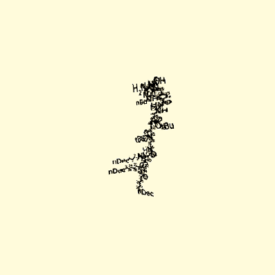 CCCCCCCCCCCCCCCC(=O)N[C@@H](CSCC(COC(=O)CCCCCCCCCCCCCCC)OC(=O)CCCCCCCCCCCCCCC)C(=O)NCCCN(CCCCN(CCCNC(=O)CNC(=O)c1ccc(Cn2c(O)nc3c(N)nc(NCCCC)nc32)cc1)C(=O)OC(C)(C)C)C(=O)OC(C)(C)C